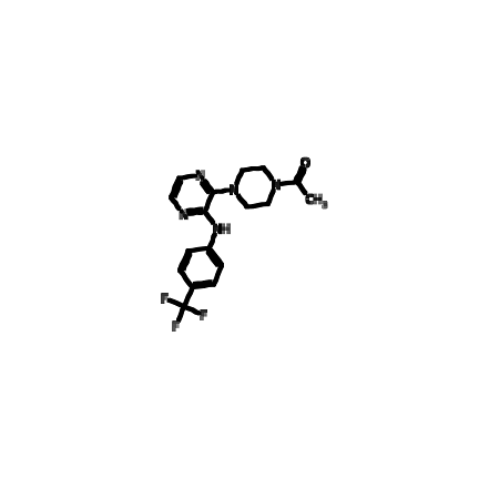 CC(=O)N1CCN(c2nccnc2Nc2ccc(C(F)(F)F)cc2)CC1